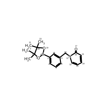 CC1(C)OB(c2cccc(Cn3ccccc3=O)c2)OC1(C)C